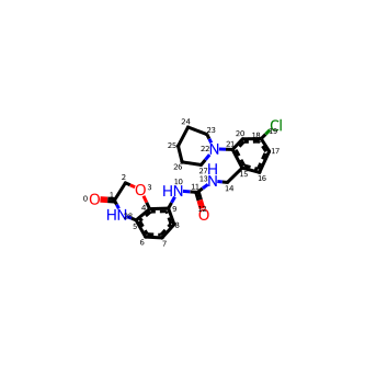 O=C1COc2c(cccc2NC(=O)NCc2ccc(Cl)cc2N2CCCCC2)N1